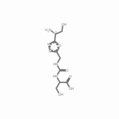 N[C@@H](CO)c1nnc(CNC(=O)NC(CO)C(=O)O)o1